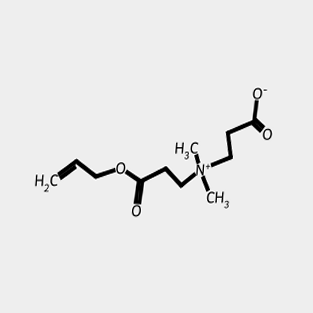 C=CCOC(=O)CC[N+](C)(C)CCC(=O)[O-]